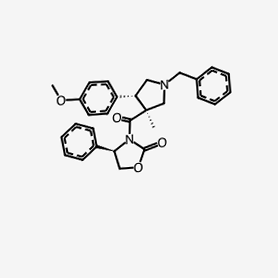 COc1ccc([C@@H]2CN(Cc3ccccc3)C[C@@]2(C)C(=O)N2C(=O)OC[C@H]2c2ccccc2)cc1